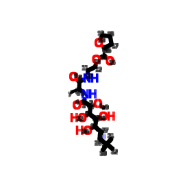 CO[C@@H](C(=O)N[C@@H](C)C(=O)NCCOC(=O)[C@H]1CCCO1)[C@H](O)[C@@H](O)[C@H](O)/C=C/C(C)(C)C